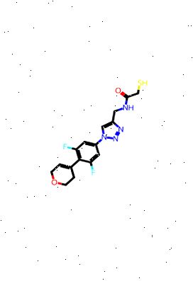 O=C(CS)NCc1cn(-c2cc(F)c(C3=CCOCC3)c(F)c2)nn1